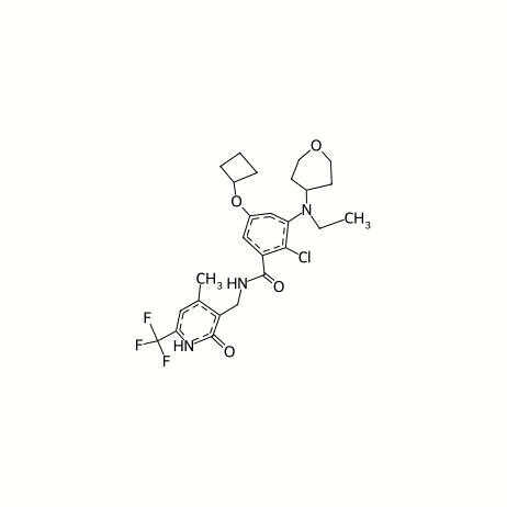 CCN(c1cc(OC2CCC2)cc(C(=O)NCc2c(C)cc(C(F)(F)F)[nH]c2=O)c1Cl)C1CCOCC1